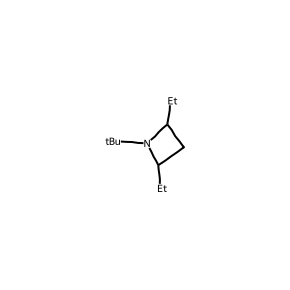 CCC1CC(CC)N1C(C)(C)C